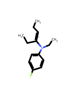 CC/C=C(\CC)N(CC)c1ccc(F)cc1